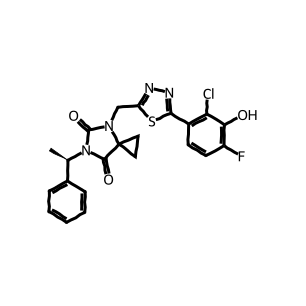 C[C@H](c1ccccc1)N1C(=O)N(Cc2nnc(-c3ccc(F)c(O)c3Cl)s2)C2(CC2)C1=O